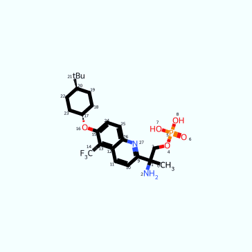 CC(N)(COP(=O)(O)O)c1ccc2c(C(F)(F)F)c(O[C@H]3CC[C@H](C(C)(C)C)CC3)ccc2n1